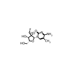 Cc1cn([C@@H]2O[C@H](CO)[C@@H](O)[C@]2(O)CF)c(=O)nc1N